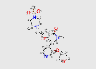 CCS(=O)(=O)N1CCN(Cc2cc3c(=O)n(C)cc(-c4ccncc4OC4CCOC4)c3o2)[C@H](C)C1